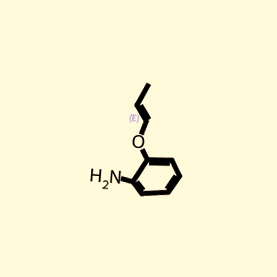 C/C=C/Oc1ccccc1N